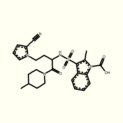 Cc1c(S(=O)(=O)NC(CCn2cccc2C#N)C(=O)N2CCC(C)CC2)c2ccccc2n1C(=O)O